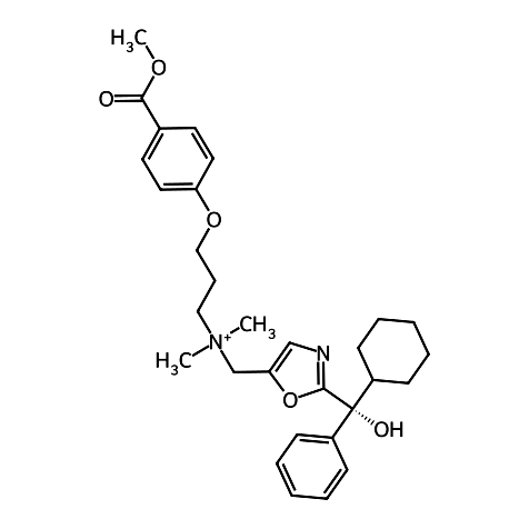 COC(=O)c1ccc(OCCC[N+](C)(C)Cc2cnc([C@](O)(c3ccccc3)C3CCCCC3)o2)cc1